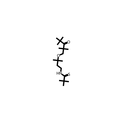 CC(C)(CCNC(=S)C(C)(C)C)OCC(C)(C)C(=O)C(C)(C)C